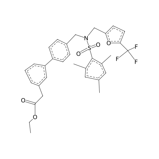 CCOC(=O)Cc1cccc(-c2ccc(CN(Cc3ccc(C(F)(F)F)o3)S(=O)(=O)c3c(C)cc(C)cc3C)cc2)c1